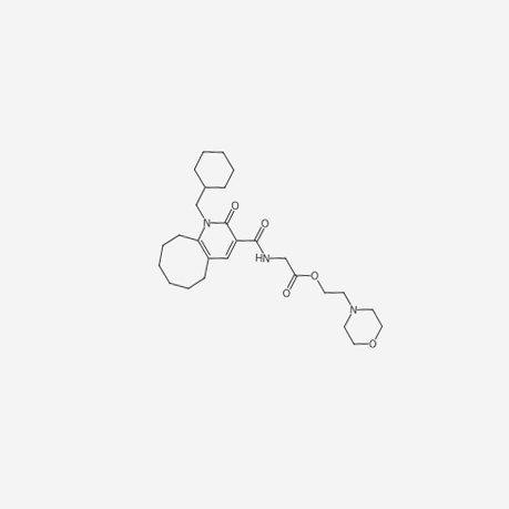 O=C(CNC(=O)c1cc2c(n(CC3CCCCC3)c1=O)CCCCCC2)OCCN1CCOCC1